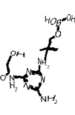 CC(C)(C)COB(O)O.Nc1nc(N)nc(N)n1.OCCO